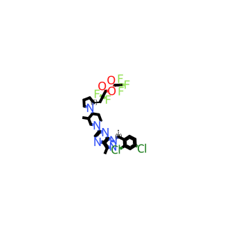 Cc1nn([C@H](C)c2ccc(Cl)cc2Cl)c2nc(N3CCC(N4CCC[C@H]4CC(F)(F)C(=O)OC(=O)C(F)(F)F)C(C)C3)cnc12